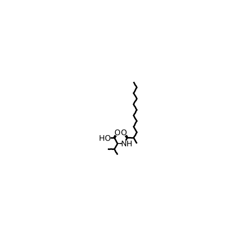 CCCCCCCCCCC(C)C(=O)N[C@H](C(=O)O)C(C)C